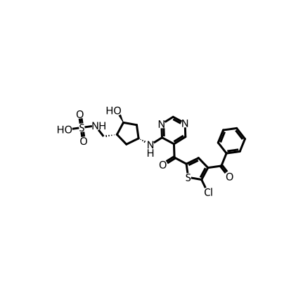 O=C(c1cc(C(=O)c2ccccc2)c(Cl)s1)c1cncnc1N[C@@H]1C[C@H](CNS(=O)(=O)O)[C@@H](O)C1